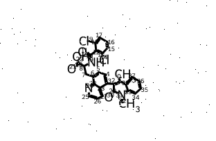 Cc1c(-c2ccc(CC(NC(=O)c3c(Cl)cccc3Cl)C(=O)O)c3ncccc23)c(=O)n(C)c2ccccc12